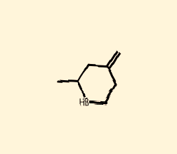 C=C1CCBC(C)C1